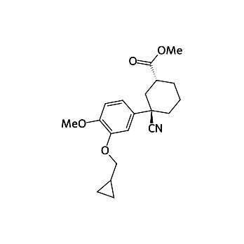 COC(=O)[C@@H]1CCC[C@](C#N)(c2ccc(OC)c(OCC3CC3)c2)C1